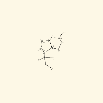 CCC(C)(C)c1nnc2n1CCN(C)C2